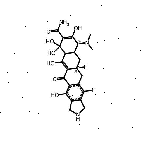 CN(C)[C@@H]1C(O)=C(C(N)=O)C(O)(O)C2C(O)=C3C(=O)c4c(O)c5c(c(F)c4C[C@H]3CC21)CNC5